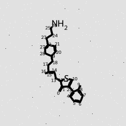 C=C1C(c2ccccc2C)=CSC1C/C=C(\C)CCC1C=CC(CCCN)=CC1